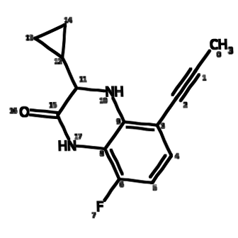 CC#Cc1ccc(F)c2c1NC(C1CC1)C(=O)N2